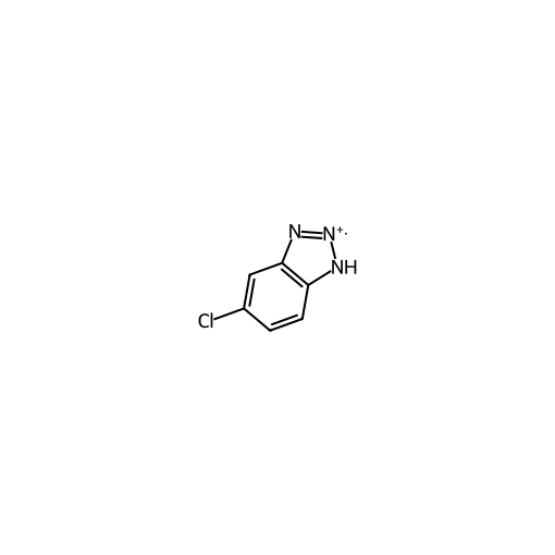 Clc1ccc2c(c1)N=[N+]N2